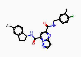 CC(=O)c1ccc2c(c1)CC[C@@H]2NC(=O)c1cc(C(=O)NCc2ccc(F)c(C)c2)nc2ccnn12